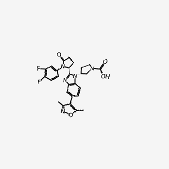 Cc1noc(C)c1-c1ccc2c(c1)nc([C@@H]1CCC(=O)N1c1ccc(F)c(F)c1)n2[C@@H]1CCN(C(=O)O)C1